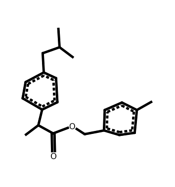 Cc1ccc(COC(=O)C(C)c2ccc(CC(C)C)cc2)cc1